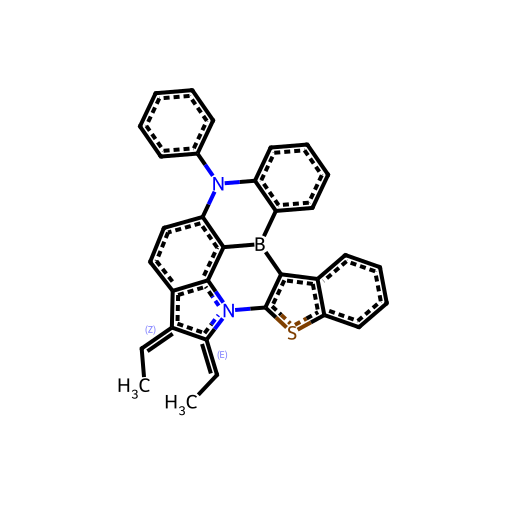 C/C=c1\c(=C/C)n2c3c4c(ccc13)N(c1ccccc1)c1ccccc1B4c1c-2sc2ccccc12